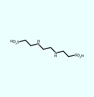 O=S(=O)(O)CCNCCNCCS(=O)(=O)O